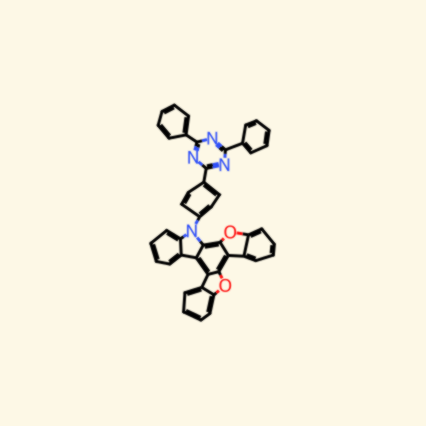 c1ccc(-c2nc(-c3ccccc3)nc(-c3ccc(-n4c5ccccc5c5c6c7ccccc7oc6c6c7ccccc7oc6c54)cc3)n2)cc1